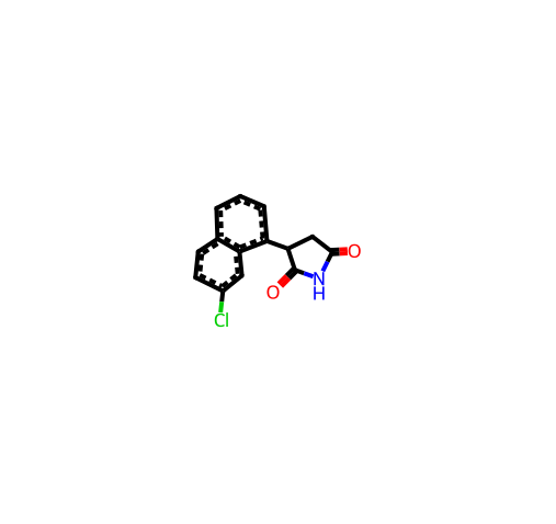 O=C1CC(c2cccc3ccc(Cl)cc23)C(=O)N1